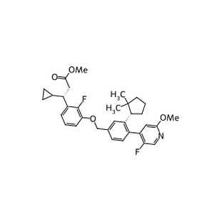 COC(=O)C[C@H](c1cccc(OCc2ccc(-c3cc(OC)ncc3F)c([C@H]3CCCC3(C)C)c2)c1F)C1CC1